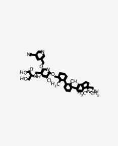 Cc1c(COc2nc(OCc3cncc(C#N)c3)c(CNC(CO)C(=O)O)cc2Cl)cccc1-c1cccc(-c2ccc3c(c2)CCC3(CO)N(C)C)c1C